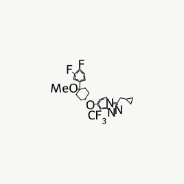 CO[C@]1(c2ccc(F)c(F)c2)CC[C@@H](Oc2ccn3c(CC4CC4)nnc3c2C(F)(F)F)CC1